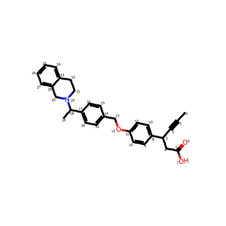 CC#CC(CC(=O)O)c1ccc(OCc2ccc(C(C)N3CCc4ccccc4C3)cc2)cc1